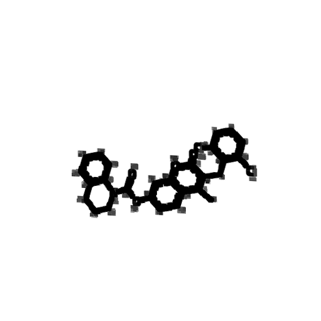 Cc1c(Cc2c(Cl)cccc2Cl)c(=O)oc2cc(OC(=O)N3CCCc4ccccc43)ccc12